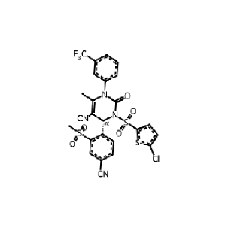 [C-]#[N+]C1=C(C)N(c2cccc(C(F)(F)F)c2)C(=O)N(S(=O)(=O)c2ccc(Cl)s2)[C@@H]1c1ccc(C#N)cc1S(C)(=O)=O